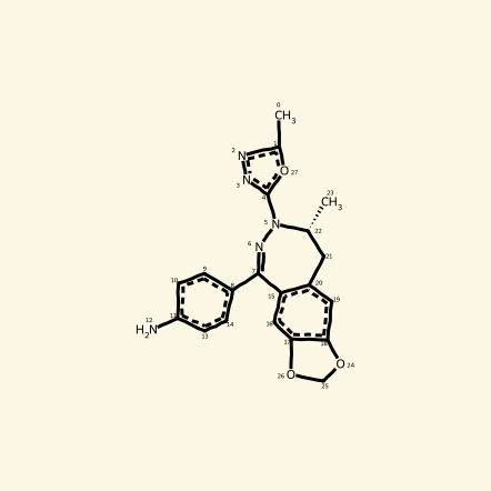 Cc1nnc(N2N=C(c3ccc(N)cc3)c3cc4c(cc3C[C@H]2C)OCO4)o1